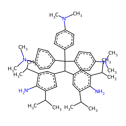 CC(C)c1cc(C(c2cc(C(C)C)c(N)c(C(C)C)c2)C(c2ccc(N(C)C)cc2)(c2ccc(N(C)C)cc2)c2ccc(N(C)C)cc2)cc(C(C)C)c1N